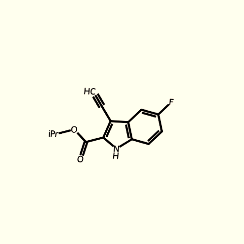 C#Cc1c(C(=O)OC(C)C)[nH]c2ccc(F)cc12